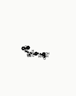 CC(C)(C)OC(=O)N(CCNC(=O)c1ccc(CNCC(O)c2ccc(O)c3[nH]c(=O)sc23)cc1)CCc1cnc([C@](O)(c2ccccc2)C2CCCCC2)o1